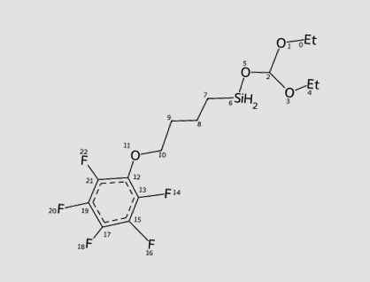 CCOC(OCC)O[SiH2]CCCCOc1c(F)c(F)c(F)c(F)c1F